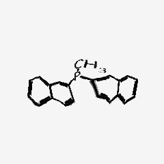 CP(c1ccc2ccccc2c1)c1ccc2ccccc2c1